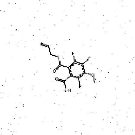 C=CCNC(=O)c1c(F)c(F)c(OC)c(F)c1C(=O)O